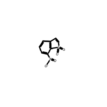 O=[N+]([O-])c1cccc2c1S(=O)(=O)C=C2